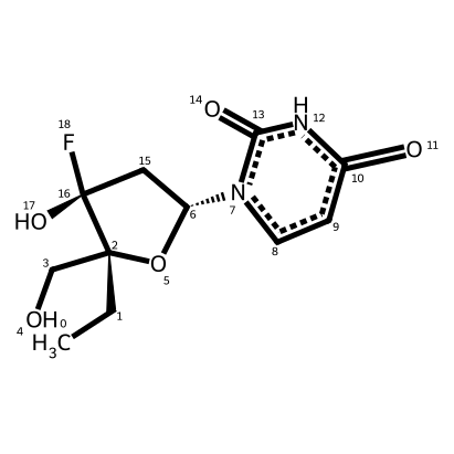 CC[C@]1(CO)O[C@@H](n2ccc(=O)[nH]c2=O)C[C@@]1(O)F